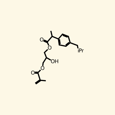 C=C(C)C(=O)OCC(O)COC(=O)C(C)c1ccc(CC(C)C)cc1